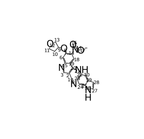 N#Cc1cnc2cc(OC3CCOC3)c([N+](=O)[O-])cc2c1Nc1ccc2[nH]ccc2c1